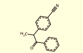 CC(C(=O)c1ccccc1)c1ccc(C#N)cc1